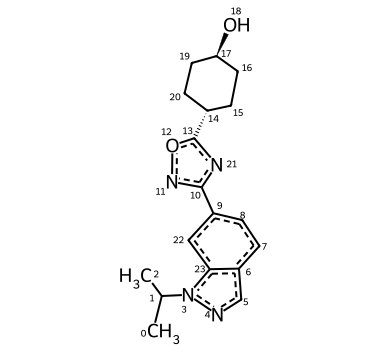 CC(C)n1ncc2ccc(-c3noc([C@H]4CC[C@H](O)CC4)n3)cc21